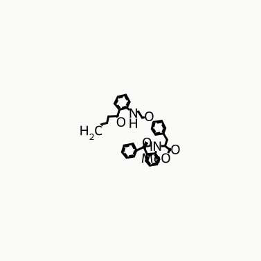 C=CCCC(=O)c1ccccc1NCCOc1ccc(CC(Nc2ccccc2C(=O)c2ccccc2)C(=O)OC)cc1